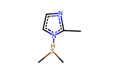 Cc1nccn1[SH](C)C